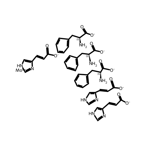 N[C@@H](Cc1ccccc1)C(=O)[O-].N[C@@H](Cc1ccccc1)C(=O)[O-].N[C@@H](Cc1ccccc1)C(=O)[O-].O=C([O-])C=Cc1c[nH]cn1.O=C([O-])C=Cc1c[nH]cn1.O=C([O-])C=Cc1c[nH]cn1.[Mo+6]